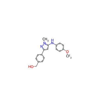 Cn1nc(-c2ccc(CO)cc2)cc1Nc1ccc(OC(F)(F)F)cc1